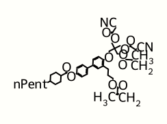 C=C(C)C(=O)OCCCc1cc(-c2ccc(OC(=O)C3CCC(CCCCC)CC3)cc2)ccc1OCC(COC(=O)CC#N)(COC(=O)CC#N)COC(=O)C(=C)C